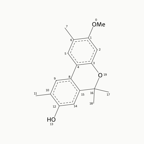 COc1cc2c(cc1C)-c1cc(C)c(O)cc1C(C)(C)O2